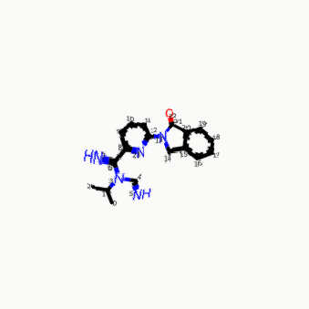 CC(C)N(C=N)C(=N)c1cccc(N2Cc3ccccc3C2=O)n1